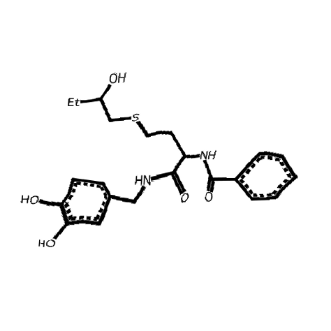 CCC(O)CSCCC(NC(=O)c1ccccc1)C(=O)NCc1ccc(O)c(O)c1